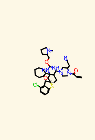 C=CC(=O)N1CCN(C2NC(OCC3CCCN3C)NC3(C4CCCCCC4)C(=O)[C@]4(CCC23)Cc2c(Cl)cccc2S4)CC1CC#N